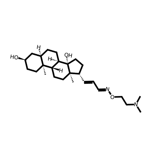 CN(C)CCO/N=C/C=C/[C@H]1CC[C@]2(O)[C@@H]3CC[C@@H]4C[C@H](O)CC[C@]4(C)[C@H]3CC[C@]12C